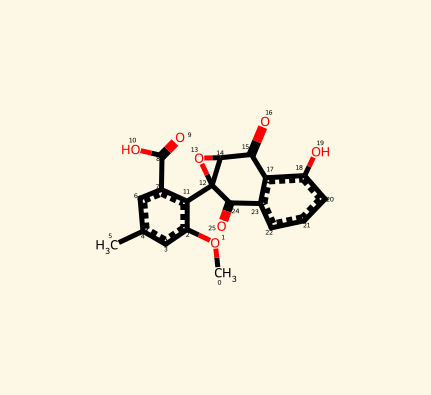 COc1cc(C)cc(C(=O)O)c1C12OC1C(=O)c1c(O)cccc1C2=O